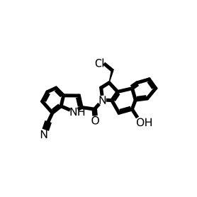 N#Cc1cccc2cc(C(=O)N3C[C@@H](CCl)c4c3cc(O)c3ccccc43)[nH]c12